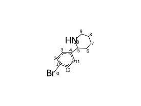 Brc1ccc(C2CCCCN2)cc1